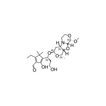 CCC1=C(C=O)C(O)=C([C@H](CCO)O[C@H]2C[C@H]3[C@H](O[C@@H]4[C@@H](OC)OCCN43)[C@H](C)O2)C1(C)C